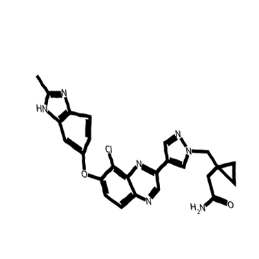 Cc1nc2ccc(Oc3ccc4ncc(-c5cnn(CC6(CC(N)=O)CC6)c5)nc4c3Cl)cc2[nH]1